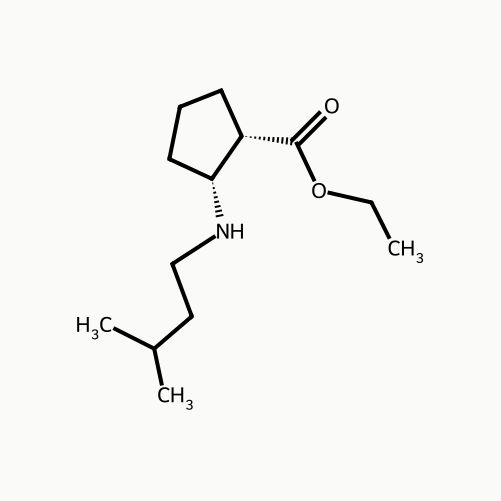 CCOC(=O)[C@H]1CCC[C@H]1NCCC(C)C